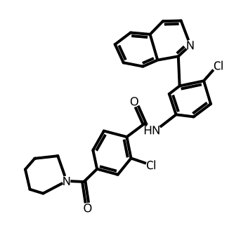 O=C(Nc1ccc(Cl)c(-c2nccc3ccccc23)c1)c1ccc(C(=O)N2CCCCC2)cc1Cl